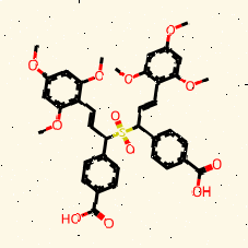 COc1cc(OC)c(C=CC(c2ccc(C(=O)O)cc2)S(=O)(=O)C(C=Cc2c(OC)cc(OC)cc2OC)c2ccc(C(=O)O)cc2)c(OC)c1